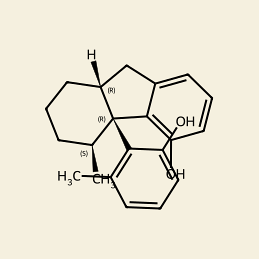 Cc1cccc(O)c1[C@]12c3c(O)cccc3C[C@H]1CCC[C@@H]2C